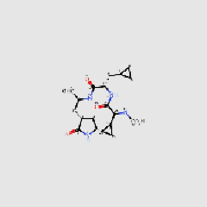 O=C[C@H](C[C@@H]1CCNC1=O)NC(=O)[C@H](CC1CC1)NC(=O)[C@@H](NC(=O)O)C1CC1